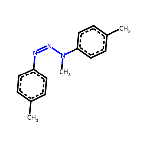 Cc1ccc(/N=N\N(C)c2ccc(C)cc2)cc1